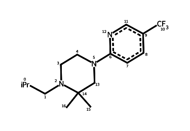 CC(C)CN1CCN(c2ccc(C(F)(F)F)cn2)CC1(C)C